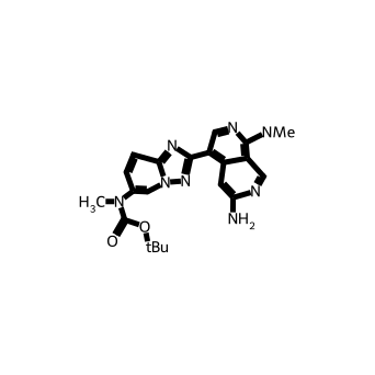 CNc1ncc(-c2nc3ccc(N(C)C(=O)OC(C)(C)C)cn3n2)c2cc(N)ncc12